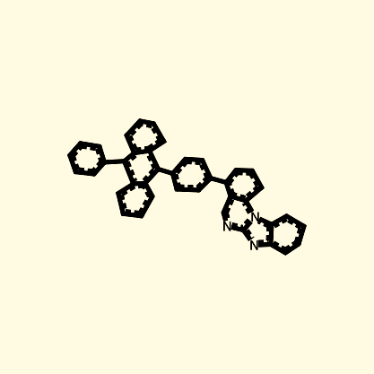 c1ccc(-c2c3ccccc3c(-c3ccc(-c4cccc5c4cnc4nc6ccccc6n45)cc3)c3ccccc23)cc1